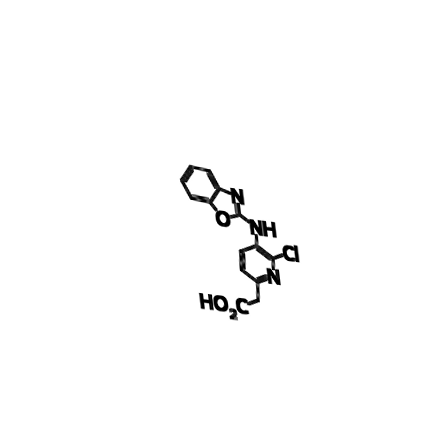 O=C(O)Cc1ccc(Nc2nc3ccccc3o2)c(Cl)n1